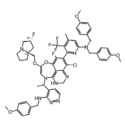 COc1ccc(CNc2nnccc2C(C)N2C=C(OC[C@@]34CCCN3C[C@H](F)C4)Oc3c(F)c(-c4nc(N(Cc5ccc(OC)cc5)Cc5ccc(OC)cc5)cc(C)c4C(F)(F)F)c(Cl)c4c3=C2NCN=4)cc1